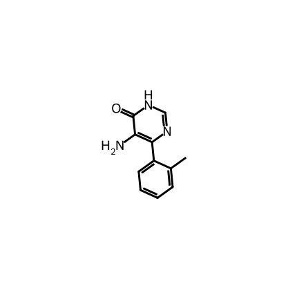 Cc1ccccc1-c1nc[nH]c(=O)c1N